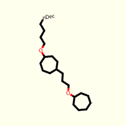 [CH2]CCCCCCCCCCCCCOC1CCCC(CCCOC2CC[CH]CCC2)CC1